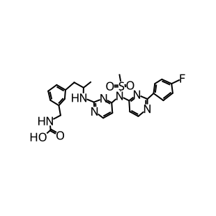 CC(Cc1cccc(CNC(=O)O)c1)Nc1nccc(N(c2ccnc(-c3ccc(F)cc3)n2)S(C)(=O)=O)n1